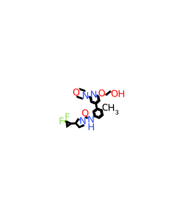 Cc1ccc(NC(=O)N2CCC(C3CC3(F)F)C2)cc1-c1cc(OCCO)nc(N2CCOCC2)c1